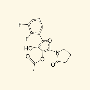 CC(=O)Oc1c(N2CCCC2=O)oc(-c2cccc(F)c2F)c1O